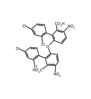 O=C(O)c1c([N+](=O)[O-])ccc(Oc2ccc([N+](=O)[O-])c(C(=O)O)c2-c2ccc(Cl)cc2Cl)c1-c1ccc(Cl)cc1Cl